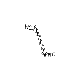 CCCCC/C=C/CCCCCC/C=C/CCC(=O)O